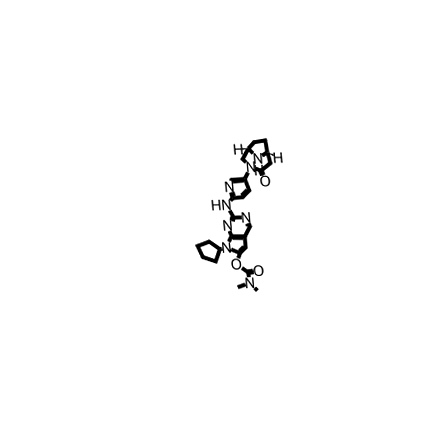 CN(C)C(=O)Oc1cc2cnc(Nc3ccc(N4C[C@H]5CC[C@@H](CC4=O)N5)cn3)nc2n1C1CCCC1